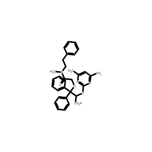 Cc1cc(C)nc(OC(C(=O)O)C(OCC(=O)N(C)CCc2ccccc2)(c2ccccc2)c2ccccc2)n1